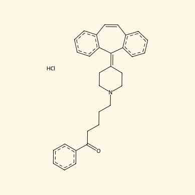 Cl.O=C(CCCCN1CCC(=C2c3ccccc3C=Cc3ccccc32)CC1)c1ccccc1